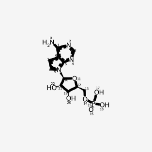 Nc1ncnc2c1ccn2[C@H]1O[C@@H](COP(=O)(O)O)[C@H](O)[C@@H]1O